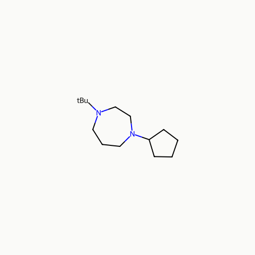 CC(C)(C)N1CCCN(C2CCCC2)CC1